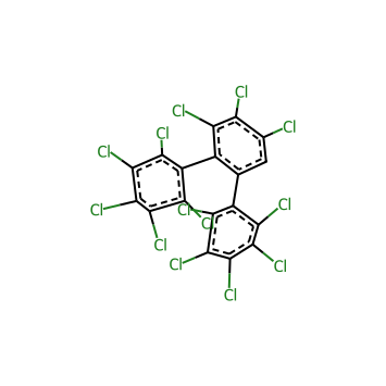 Clc1cc(-c2c(Cl)c(Cl)c(Cl)c(Cl)c2Cl)c(-c2c(Cl)c(Cl)c(Cl)c(Cl)c2Cl)c(Cl)c1Cl